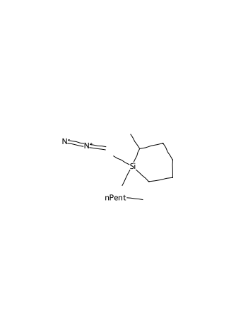 C=[N+]=[N-].CC1CCCC[Si]1(C)C.CCCCCC